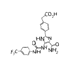 NC(=O)c1nc(-c2ccc(CC(=O)O)cc2)[nH]c1NC(=O)Nc1ccc(C(F)(F)F)cc1